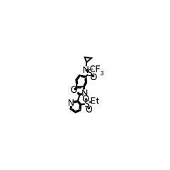 CCS(=O)(=O)c1cccnc1-c1nc2cc(S(=O)(=NC3CC3)C(F)(F)F)ccc2o1